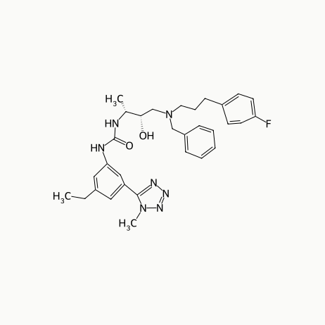 CCc1cc(NC(=O)N[C@H](C)[C@@H](O)CN(CCCc2ccc(F)cc2)Cc2ccccc2)cc(-c2nnnn2C)c1